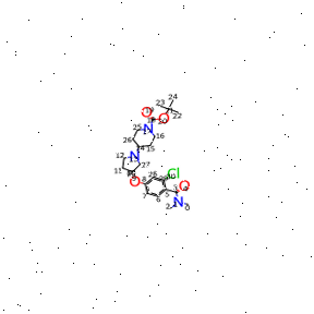 CN(C)C(=O)c1ccc(O[C@@H]2CCN(C3CCN(C(=O)OC(C)(C)C)CC3)C2)cc1Cl